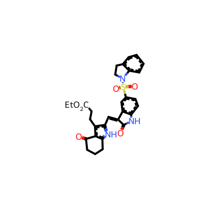 CCOC(=O)CCc1c(/C=C2\C(=O)Nc3ccc(S(=O)(=O)N4CCc5ccccc54)cc32)[nH]c2c1C(=O)CCC2